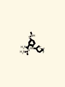 CNSc1ccc(NC2CCC(F)(F)CC2)c(/C(N)=N/N(C)N)c1